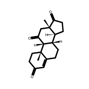 C[C@]12CCC(=O)C=C1CC[C@@H]1[C@H]2C(=O)C[C@]2(C)C(=O)CC[C@@H]12